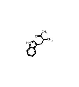 CC(=O)C(C)Cc1c[nH]c2ccccc12